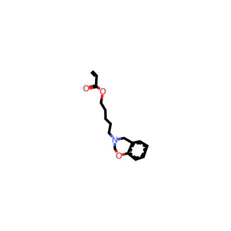 C=CC(=O)OCCCCCN1COc2ccccc2C1